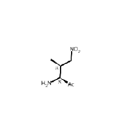 CC(=O)[C@@H](N)[C@@H](C)C[N+](=O)[O-]